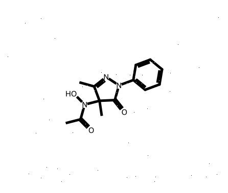 CC(=O)N(O)C1(C)C(=O)N(c2ccccc2)N=C1C